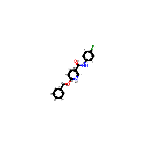 O=C(Nc1ccc(F)cc1)c1ccc(OCc2ccccc2)nc1